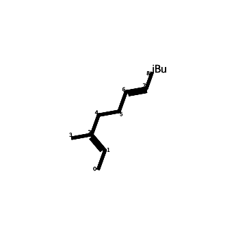 CC=C(C)CCC=CC(C)CC